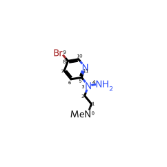 CNCCN(N)c1ccc(Br)cn1